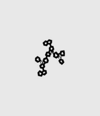 c1ccc(-n2c3ccccc3c3cc(-n4c5ccc(-c6cccc7ccccc67)cc5c5ccc(-c6ccc7c8cc(-c9cccc%10ccccc9%10)ccc8n(-c8ccccc8)c7c6)cc54)ccc32)cc1